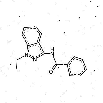 CCn1nc(NC(=O)c2ccccc2)c2ccccc21